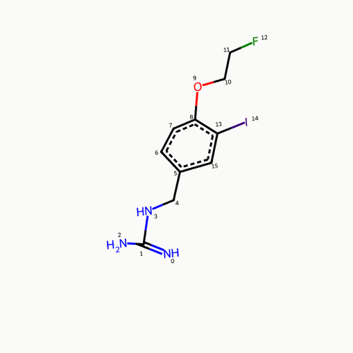 N=C(N)NCc1ccc(OCCF)c(I)c1